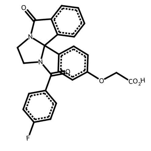 O=C(O)COc1ccc(C23c4ccccc4C(=O)N2CCN3C(=O)c2ccc(F)cc2)cc1